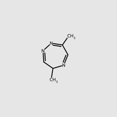 CC1=NN=CC(C)N=C1